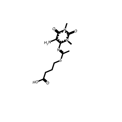 C/C(=N\c1c(N)c(=O)n(C)c(=O)n1C)SCCCC(=O)O